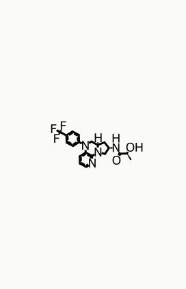 C[C@H](O)C(=O)N[C@@H]1C[C@@H]2CN(c3ccc(C(F)(F)F)cc3)c3cccnc3N2C1